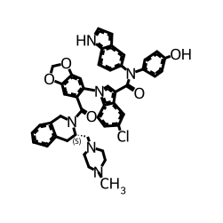 CN1CCN(C[C@@H]2Cc3ccccc3CN2C(=O)c2cc3c(cc2-n2cc(C(=O)N(c4ccc(O)cc4)c4ccc5[nH]ccc5c4)c4cc(Cl)ccc42)OCO3)CC1